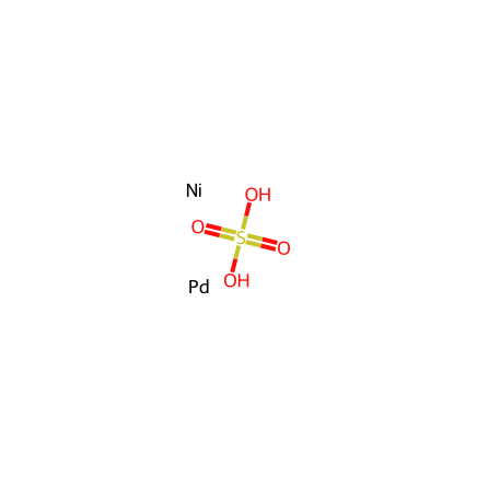 O=S(=O)(O)O.[Ni].[Pd]